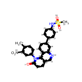 Cc1ccc(-n2c(=O)ccc3cnc4cc(-c5ccc(NS(C)(=O)=O)cc5)ccc4c32)cc1[N+](=O)[O-]